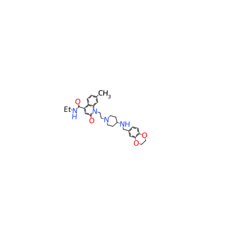 CCNC(=O)c1cc(=O)n(CCN2CCC(NCc3ccc4c(c3)OCCO4)CC2)c2cc(C)ccc12